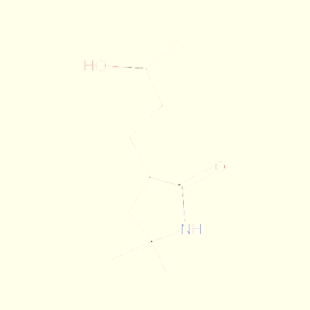 CC(O)CCC1CC(C)(C)NC1=O